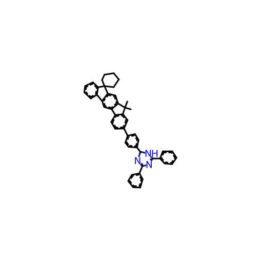 CC1(C)c2cc(-c3ccc(C4N=C(c5ccccc5)N=C(c5ccccc5)N4)cc3)ccc2-c2cc3c(cc21)C1(CCCCC1)c1ccccc1-3